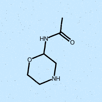 CC(=O)NC1CNCCO1